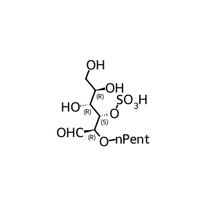 CCCCCO[C@@H](C=O)[C@@H](OS(=O)(=O)O)[C@H](O)[C@H](O)CO